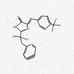 O=C1NC(C(Cl)(Cl)Cc2cc#ccc2)O/C1=C\c1ccc(C(F)(F)F)cc1